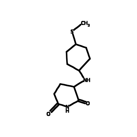 CSC1CCC(NC2CCC(=O)NC2=O)CC1